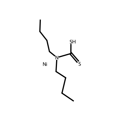 CCCCN(CCCC)C(=S)S.[Ni]